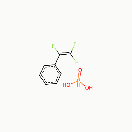 FC(F)=C(F)c1ccccc1.O=[PH](O)O